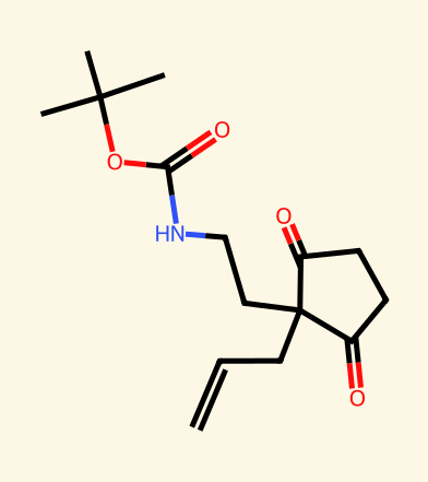 C=CCC1(CCNC(=O)OC(C)(C)C)C(=O)CCC1=O